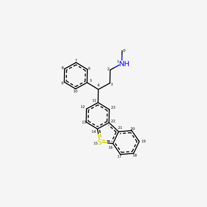 CNCCC(c1ccccc1)c1ccc2sc3ccccc3c2c1